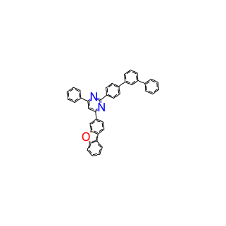 c1ccc(-c2cccc(-c3ccc(-c4nc(-c5ccccc5)cc(-c5ccc6c(c5)oc5ccccc56)n4)cc3)c2)cc1